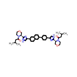 CC(C)CC(=O)N1CCOC[C@H]1c1nc(-c2ccc(-c3ccc4cc(-c5c[nH]c([C@@H]6COCCN6C(=O)CC(C)C)n5)ccc4c3)cc2)c[nH]1